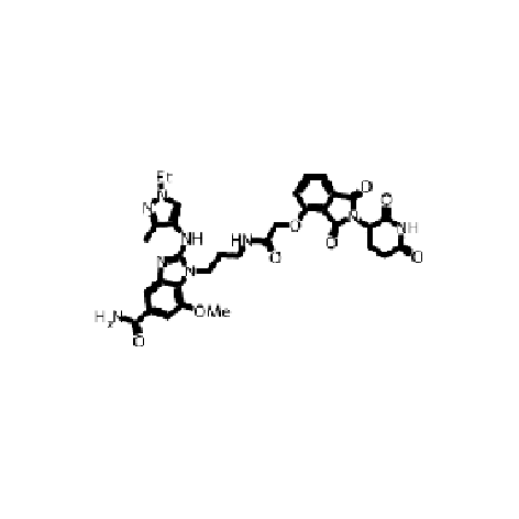 CCn1cc(Nc2nc3cc(C(N)=O)cc(OC)c3n2CCCNC(=O)COc2cccc3c2C(=O)N(C2CCC(=O)NC2=O)C3=O)c(C)n1